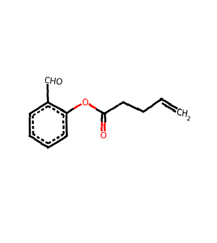 C=CCCC(=O)Oc1ccccc1C=O